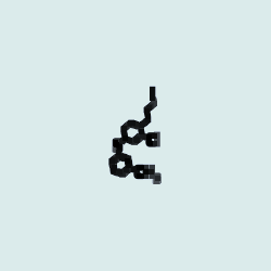 Cc1cccc(SC2C=C(Cl)C(CCCI)=CC2)c1